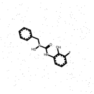 O=C(Nc1cccc(F)c1O)N(S)Cc1ccccc1